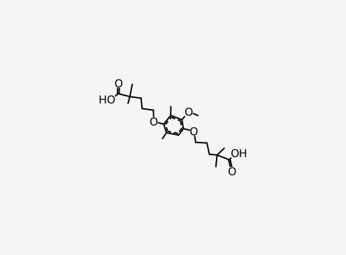 COc1c(OCCCC(C)(C)C(=O)O)cc(C)c(OCCCC(C)(C)C(=O)O)c1C